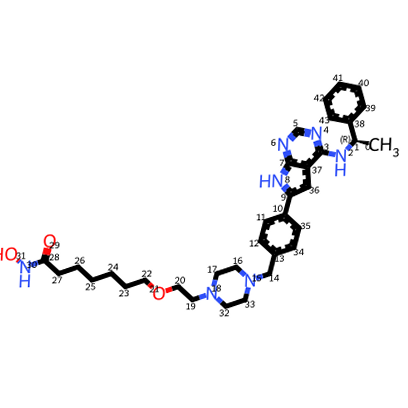 C[C@@H](Nc1ncnc2[nH]c(-c3ccc(CN4CCN(CCOCCCCCCC(=O)NO)CC4)cc3)cc12)c1ccccc1